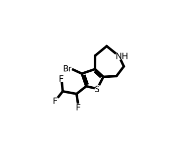 FC(F)C(F)c1sc2c(c1Br)CCNCC2